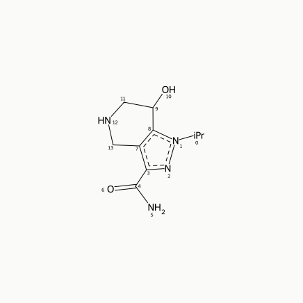 CC(C)n1nc(C(N)=O)c2c1C(O)CNC2